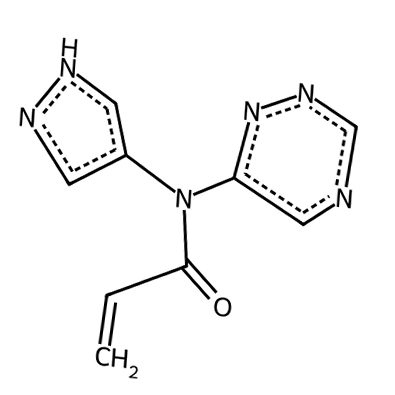 C=CC(=O)N(c1cn[nH]c1)c1cncnn1